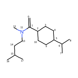 C=C(C1CCC(C(C)C)CC1)N(C)CCC(C)C